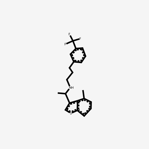 Cc1cccc2scc(C(C)NCCCc3cccc(C(F)(F)F)c3)c12